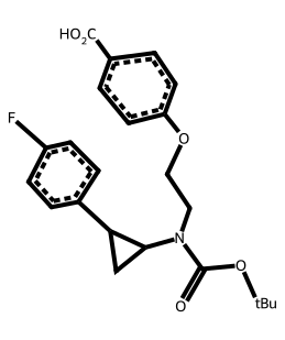 CC(C)(C)OC(=O)N(CCOc1ccc(C(=O)O)cc1)C1CC1c1ccc(F)cc1